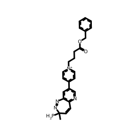 CC1(P)C=Cc2ncc(-c3cc[n+](CCCC(=O)OCc4ccccc4)cc3)cc2N=N1